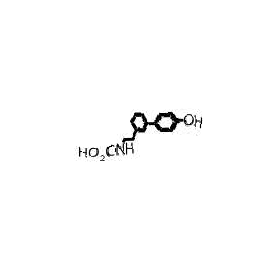 O=C(O)NCCc1cccc(-c2ccc(O)cc2)c1